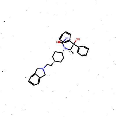 C[C@@H](N(C(N)=O)[C@H]1CC[C@H](CCN2Cc3ccccc3C2)CC1)C(O)(c1ccccc1)c1ccccc1